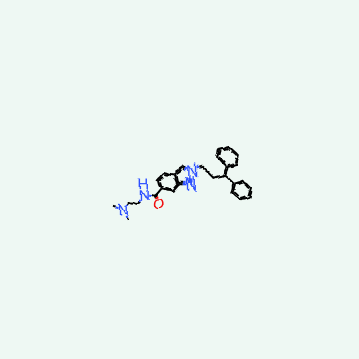 CN(C)CCNC(=O)c1ccc2cn(CCC(c3ccccc3)c3ccccc3)nc2c1